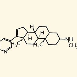 CNC1CC[C@@]2(C)C(CC[C@@H]3[C@@H]2CC[C@]2(C)C(c4cccnc4)=CC[C@@H]32)C1